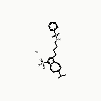 CC(C)c1ccc2c(CCCCNS(=O)(=O)c3ccccc3)cc(S(=O)(=O)[O-])c-2cc1.[Na+]